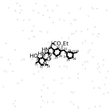 CCOC(=O)C[C@H](NC(=O)Nc1c(O)c(C)cn(C)c1=O)c1cccc(Cc2cccc(C)c2)c1